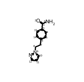 NC(=O)c1ccc(CCn2cccn2)cc1